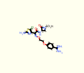 N=C(N)c1ccc(OCCO/N=C(\C(=O)N[C@H]2CN(S(=O)(=O)O)C2=O)c2nc(N)sc2Cl)cc1